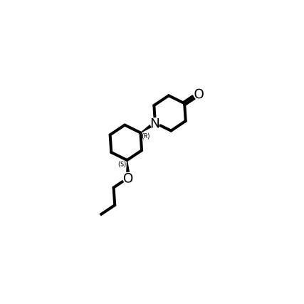 CCCO[C@H]1CCC[C@@H](N2CCC(=O)CC2)C1